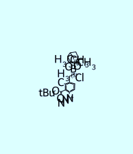 Cc1c(C[C@@H](Cl)B2OC3CC4CC(C4(C)C)[C@]3(C)O2)ccc(N=[N+]=[N-])c1C(=O)OC(C)(C)C